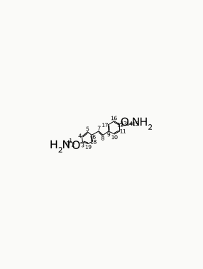 NCOc1ccc(C=Cc2ccc(OCN)cc2)cc1